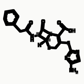 Nc1cnc(SC2=C(C(=O)O)N3C(=O)[C@@H](NC(=O)Cc4ccccc4)[C@H]3SC2)s1